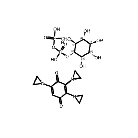 O=C1C=C(N2CC2)C(=O)C(N2CC2)=C1N1CC1.O=P(O)(O)OP(=O)(O)O[C@@H]1[C@@H](O)[C@H](O)[C@@H](O)[C@H](O)[C@@H]1O